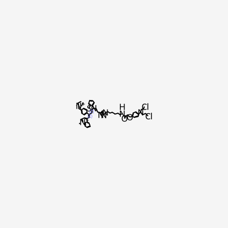 CC[N+](C)(CC)Cc1ccc(C(=C\c2cc[n+](C)c3ccccc23)/C=C2\Sc3ccccc3N2CCc2cn(CCCCCCNC(=O)COc3ccc(N(CCCl)CCCl)cc3)nn2)cc1